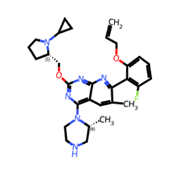 C=CCOc1cccc(F)c1-c1nc2nc(OC[C@@H]3CCCN3C3CC3)nc(N3CCNC[C@H]3C)c2cc1C